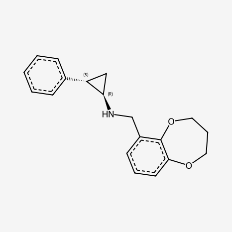 c1ccc([C@@H]2C[C@H]2NCc2cccc3c2OCCCO3)cc1